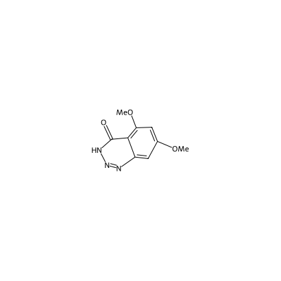 COc1cc(OC)c2c(=O)[nH]nnc2c1